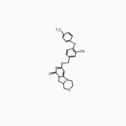 N#Cc1cc(COc2cc3n(c(=O)n2)CC2COCCN32)ccc1Oc1ccc(C(F)(F)F)cc1